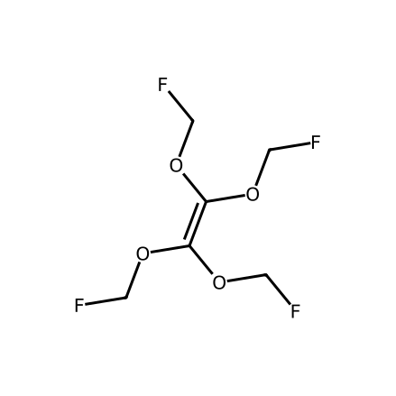 FCOC(OCF)=C(OCF)OCF